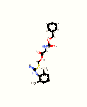 Cc1cccc(C)c1NC(=N)SCOC(=O)CNC(=O)OCc1ccccc1